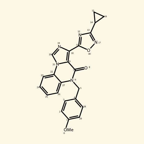 COc1ccc(Cn2c(=O)c3c(-c4nc(C5CC5)no4)ncn3c3ccccc32)cc1